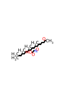 CC(=O)CC/C=C(\C)CC/C=C(\C)CC/C=C(\C)CCC=C(C)C.O=NCC(=O)O